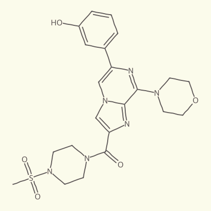 CS(=O)(=O)N1CCN(C(=O)c2cn3cc(-c4cccc(O)c4)nc(N4CCOCC4)c3n2)CC1